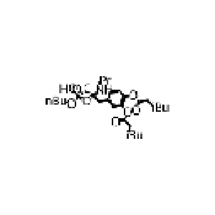 CCCCOC(=O)O[C@](Cc1ccc(OC(=O)CC(C)CC)c(OC(=O)CC(C)CC)c1)(NC(C)C)C(=O)O